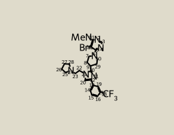 CNc1ncnc(N2CCC(c3nc(-c4cccc(C(F)(F)F)c4)cn3CCN3CCCC3)CC2)c1Br